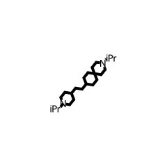 CC(C)N1CCC(CCC2CCC3(CC2)CCN(C(C)C)CC3)CC1